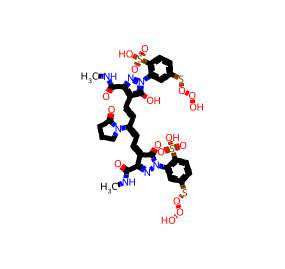 CNC(=O)C1=NN(c2cc(SOOO)ccc2S(=O)(=O)O)C(=O)/C1=C\C=C(C=Cc1c(C(=O)NC)nn(-c2cc(SOOO)ccc2S(=O)(=O)O)c1O)N1CCCC1=O